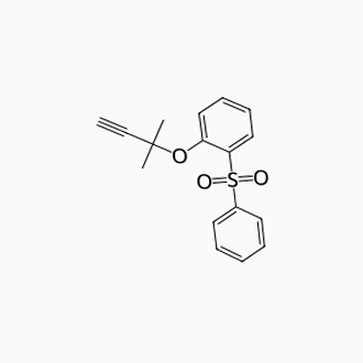 C#CC(C)(C)Oc1ccccc1S(=O)(=O)c1ccccc1